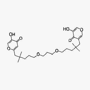 CC(C)(CCCOCCCOCCCC(C)(C)Cc1cocc(O)c1=O)Cc1cc(=O)c(O)co1